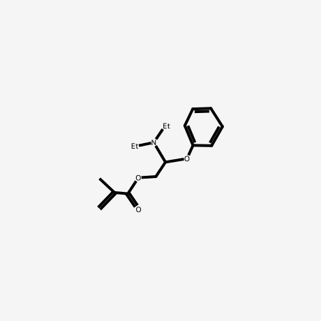 C=C(C)C(=O)OCC(Oc1ccccc1)N(CC)CC